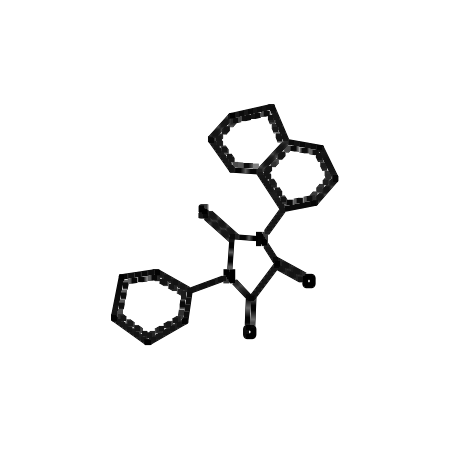 O=C1C(=O)N(c2cccc3ccccc23)C(=S)N1c1ccccc1